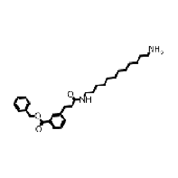 NCCCCCCCCCCCCNC(=O)/C=C/c1cccc(C(=O)OCc2ccccc2)c1